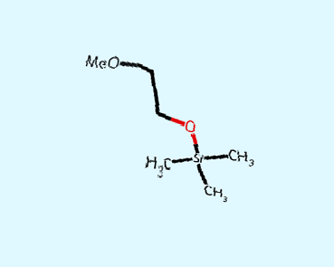 [CH2]OCCO[Si](C)(C)C